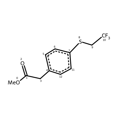 COC(=O)Cc1ccc(SCC(F)(F)F)cc1